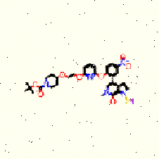 Cn1cc(-c2cc([N+](=O)[O-])ccc2Oc2cccc(OCCOC3CCN(C(=O)OC(C)(C)C)CC3)n2)c2ccn(SI)c2c1=O